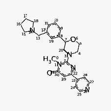 Cn1c(N2CCOC(c3cccc(CN4CCCC4)c3)C2)nc(-c2ccncc2)cc1=O